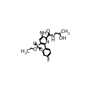 CCOS(=O)(=O)c1cc(N)c(C(=O)NC[C@H](C)O)nc1-c1ccc(F)cc1